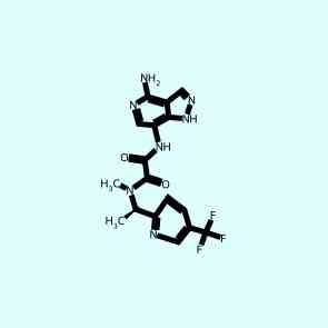 C[C@H](c1ccc(C(F)(F)F)cn1)N(C)C(=O)C(=O)Nc1cnc(N)c2cn[nH]c12